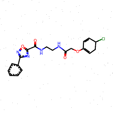 O=C(COC1=CCC(Cl)C=C1)NCCNC(=O)c1nc(-c2ccccc2)no1